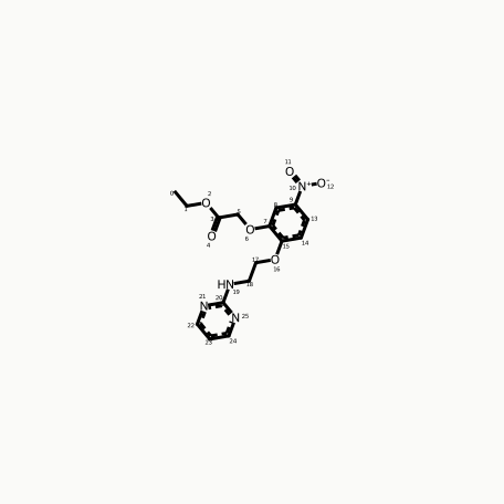 CCOC(=O)COc1cc([N+](=O)[O-])ccc1OCCNc1ncccn1